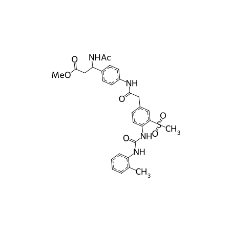 COC(=O)CC(NC(C)=O)c1ccc(NC(=O)Cc2ccc(NC(=O)Nc3ccccc3C)c(S(C)(=O)=O)c2)cc1